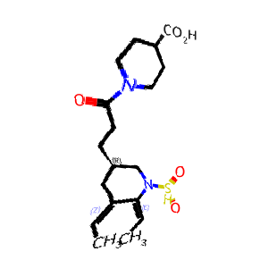 C/C=C1/C[C@@H](CCC(=O)N2CCC(C(=O)O)CC2)CN([SH](=O)=O)/C1=C/C